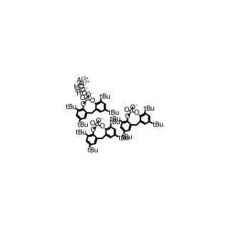 CC(C)(C)c1cc2c(c(C(C)(C)C)c1)OP(=O)([O-])Oc1c(cc(C(C)(C)C)cc1C(C)(C)C)C2.CC(C)(C)c1cc2c(c(C(C)(C)C)c1)OP(=O)([O-])Oc1c(cc(C(C)(C)C)cc1C(C)(C)C)C2.CC(C)(C)c1cc2c(c(C(C)(C)C)c1)OP(=O)([O-])Oc1c(cc(C(C)(C)C)cc1C(C)(C)C)C2.[Al+3].[Al+3].[OH-].[OH-].[OH-]